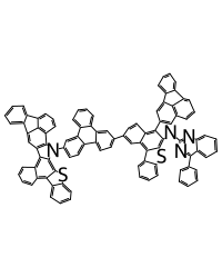 c1ccc(-c2nc(-n3c4c5cccc6c5c(cc4c4c5ccc(-c7ccc8c9ccc(-n%10c%11c%12cccc%13c%12c(cc%11c%11c%12ccccc%12c%12c%14ccccc%14sc%12c%11%10)-c%10ccccc%10-%13)cc9c9ccccc9c8c7)cc5c5c7ccccc7sc5c43)-c3ccccc3-6)nc3ccccc23)cc1